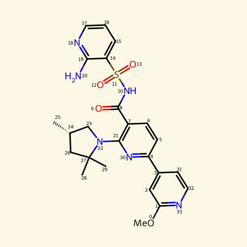 COc1cc(-c2ccc(C(=O)NS(=O)(=O)c3cccnc3N)c(N3C[C@@H](C)CC3(C)C)n2)ccn1